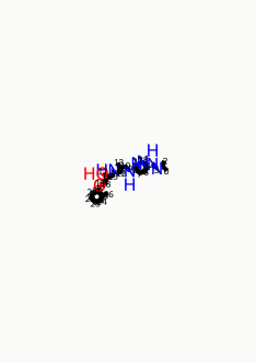 CC(C)=NNc1ccc(NCC(C)(C)NCC(O)COc2ccccc2C)nn1